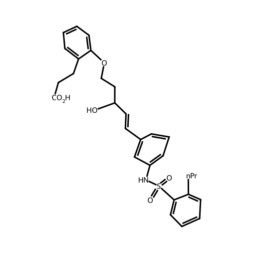 CCCc1ccccc1S(=O)(=O)Nc1cccc(/C=C/C(O)CCOc2ccccc2CCC(=O)O)c1